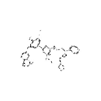 Cc1cc(-c2cc(F)c(=O)n(Cc3ccc4c(c3)OCO4)c2)nc(SCCC(OCC2CCC2)c2ccccc2)n1